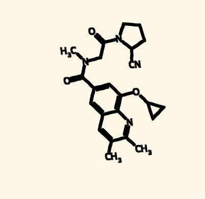 Cc1cc2cc(C(=O)N(C)CC(=O)N3CCCC3C#N)cc(OC3CC3)c2nc1C